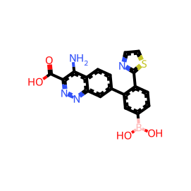 Nc1c(C(=O)O)nnc2cc(-c3cc(B(O)O)ccc3-c3nccs3)ccc12